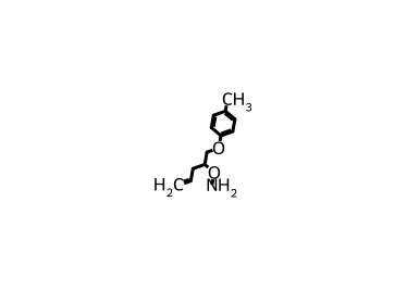 C=CCC(COc1ccc(C)cc1)ON